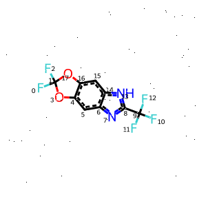 FC1(F)Oc2cc3nc(C(F)(F)F)[nH]c3cc2O1